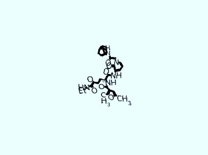 CCNC(=O)C(=O)CC[C@H](NC(=O)c1cc(C)oc1C)C(=O)Nc1cccn(CC(=O)NC2C3CC4CC(C3)C2C4)c1=O